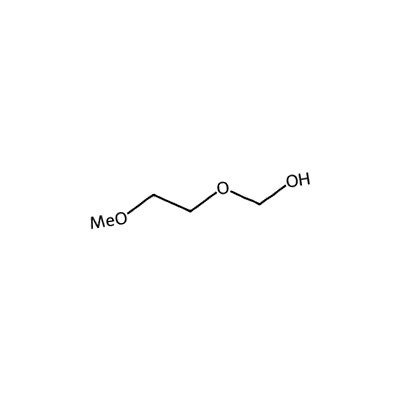 COCCOCO